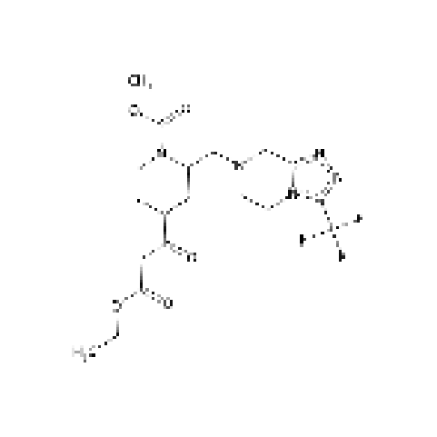 CCOC(=O)CC(=O)C1CCN(C(=O)OC)C(CN2CCn3c(nnc3C(F)(F)F)C2)C1